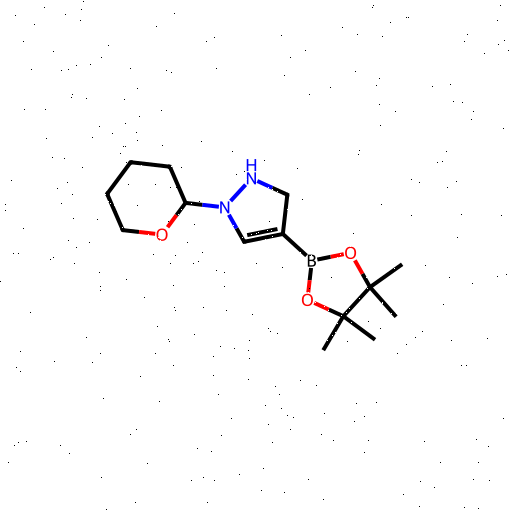 CC1(C)OB(C2=CN(C3CCCCO3)NC2)OC1(C)C